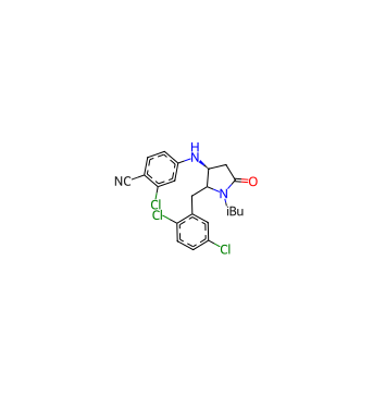 CCC(C)N1C(=O)C[C@H](Nc2ccc(C#N)c(Cl)c2)C1Cc1cc(Cl)ccc1Cl